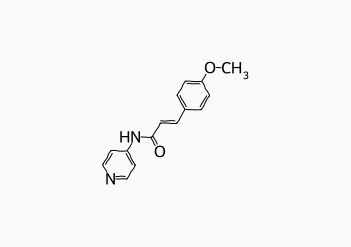 COc1ccc(C=CC(=O)Nc2ccncc2)cc1